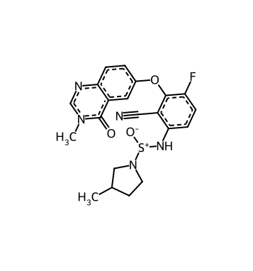 CC1CCN([S+]([O-])Nc2ccc(F)c(Oc3ccc4ncn(C)c(=O)c4c3)c2C#N)C1